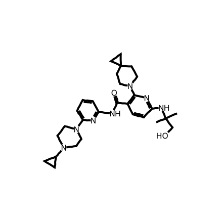 CC(C)(CO)Nc1ccc(C(=O)Nc2cccc(N3CCN(C4CC4)CC3)n2)c(N2CCC3(CC2)CC3)n1